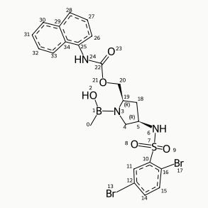 CB(O)N1C[C@H](NS(=O)(=O)c2cc(Br)ccc2Br)C[C@@H]1COC(=O)Nc1cccc2ccccc12